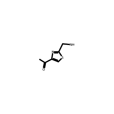 CC(=O)c1csc(C[NH])n1